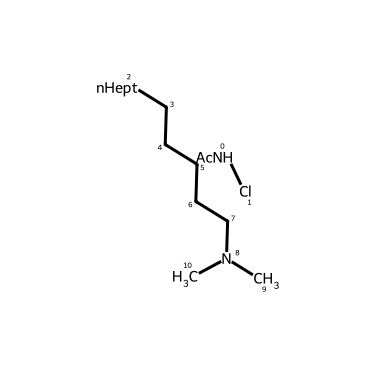 CC(=O)NCl.CCCCCCCCCCCCN(C)C